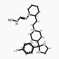 N#CN/C=N/N1CCCCC1CCN1CCC(C2(c3ccc(F)cc3)OCCO2)CC1